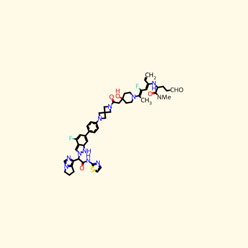 C=C/C(=C\C(F)=C(/C)N1CCC(O)(CC(=O)N2CC3(C2)CN(c2ccc(C4=CC5NN(C(C(=O)Nc6nccs6)c6ncn7c6CCC7)C=C5C(F)=C4)cc2)C3)CC1)NC(CCC=O)C(=O)NC